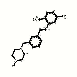 CN1CCN(Cc2cccc(CNc3cc(Br)ccc3[N+](=O)[O-])c2)CC1